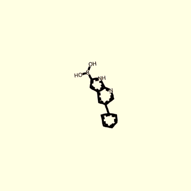 OB(O)c1cc2cc(-c3ccccc3)cnc2[nH]1